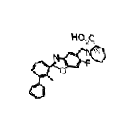 Cc1c(-c2ccccc2)cccc1-c1nc2cc(CN3CCCC[C@H]3C(=O)O)c(F)cc2o1